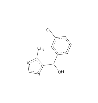 Cc1scnc1C(O)c1cccc(Cl)c1